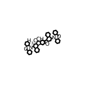 CC1(C)c2cc3c(cc2-c2c1cc(N1c4ccccc4Oc4ccccc41)c1ccccc21)oc1cc(N2c4ccccc4Oc4ccccc42)c2ccccc2c13